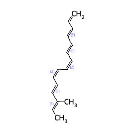 C=C/C=C/C=C/C=C\C=C/C=C/C(C)=C/C